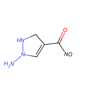 NN1C=C(C(=O)N=O)CN1